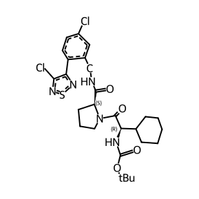 CC(C)(C)OC(=O)N[C@@H](C(=O)N1CCC[C@H]1C(=O)NCc1cc(Cl)ccc1-c1nsnc1Cl)C1CCCCC1